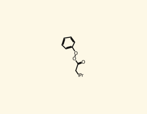 CC(C)CC(=O)OOc1ccccc1